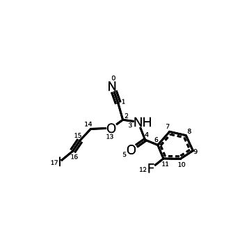 N#CC(NC(=O)c1ccccc1F)OCC#CI